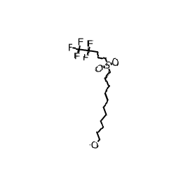 [O]CCCCCCCCCCCS(=O)(=O)CCCC(F)(F)C(F)(F)F